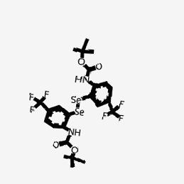 CC(C)(C)OC(=O)Nc1ccc(C(F)(F)F)cc1[Se][Se]c1cc(C(F)(F)F)ccc1NC(=O)OC(C)(C)C